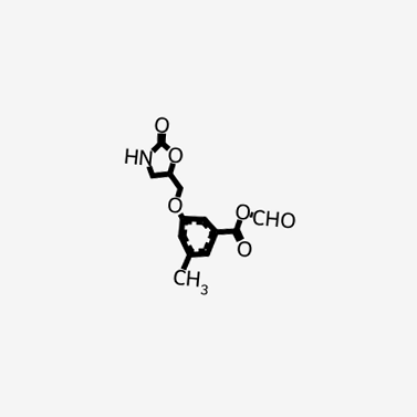 Cc1cc(OCC2CNC(=O)O2)cc(C(=O)OC=O)c1